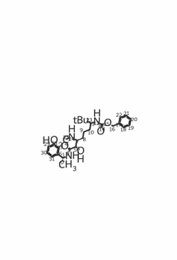 C[C@@H](NC(=O)C(O)[C@H](CCCC(NC(=O)OCc1ccccc1)C(C)(C)C)NC(=O)O)c1ccccc1